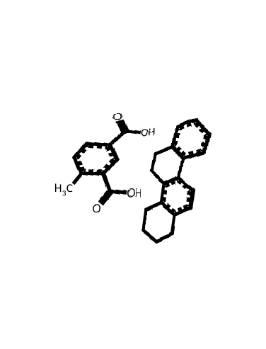 Cc1ccc(C(=O)O)cc1C(=O)O.c1ccc2c(c1)CCc1c-2ccc2c1CCCC2